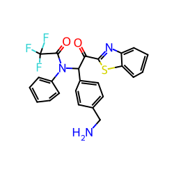 NCc1ccc(C(C(=O)c2nc3ccccc3s2)N(C(=O)C(F)(F)F)c2ccccc2)cc1